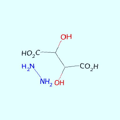 NN.O=C(O)C(O)C(O)C(=O)O